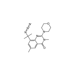 Cc1cc(C(C)(C)N=[N+]=[N-])c2nc(N3CCOCC3)n(C)c(=O)c2c1